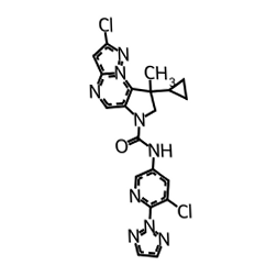 CC1(C2CC2)CN(C(=O)Nc2cnc(-n3nccn3)c(Cl)c2)c2cnc3cc(Cl)nn3c21